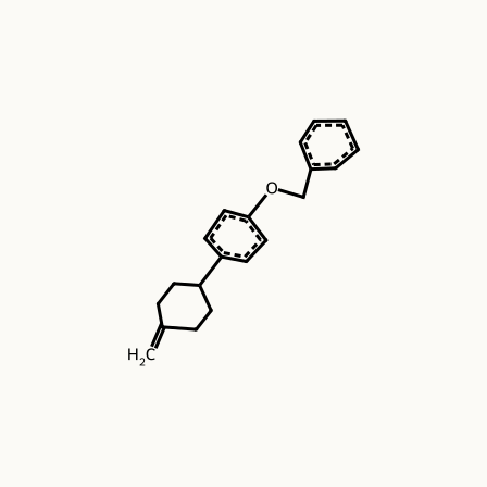 C=C1CCC(c2ccc(OCc3ccccc3)cc2)CC1